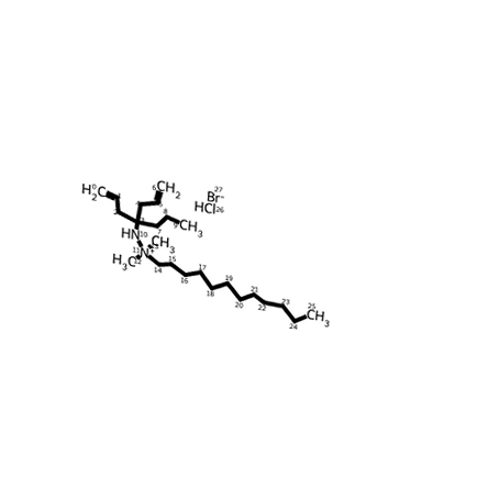 C=CCC(CC=C)(CCC)N[N+](C)(C)CCCCCCCCCCCC.Cl.[Br-]